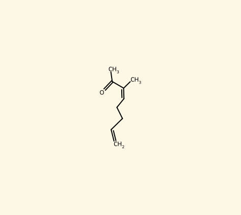 C=CCCC=C(C)C(C)=O